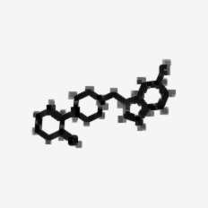 O=C1CC=CN=C1N1CCN(Cc2csc3ccc(Cl)cc23)CC1